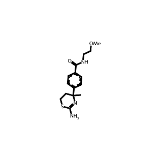 COCCNC(=O)c1ccc(C2(C)CCSC(N)=N2)cc1